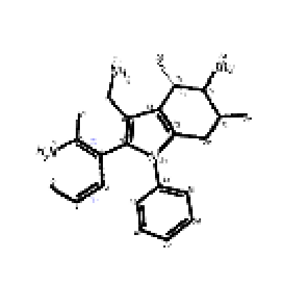 C/C=C\C(=C(\C)N)c1c(CN)c2c(n1-c1ccccc1)CC(C)C(C(C)(C)C)[C@H]2C